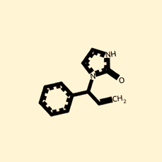 C=CC(c1ccccc1)n1cc[nH]c1=O